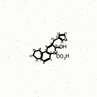 O=C(O)N1c2ccc3c(c2C=C(Cc2ccsc2)C1O)CCCC3